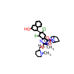 CN1CCCC[C@H]1COc1nc(N2CC3CCC(C2)N3C(=O)OC(C)(C)C)c2cc(Cl)c(-c3cc(O)cc4ccccc34)c(F)c2n1